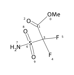 COC(=O)C(F)(F)S(N)(=O)=O